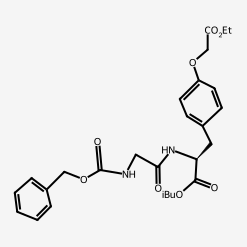 CCOC(=O)COc1ccc(C[C@H](NC(=O)CNC(=O)OCc2ccccc2)C(=O)OCC(C)C)cc1